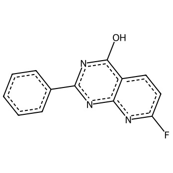 Oc1nc(-c2ccccc2)nc2nc(F)ccc12